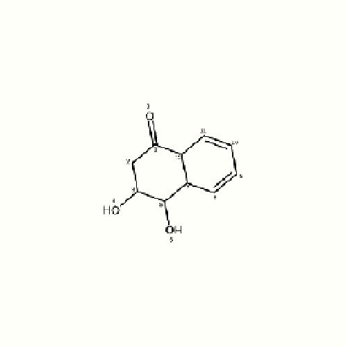 O=C1CC(O)C(O)C2C=CC=CC12